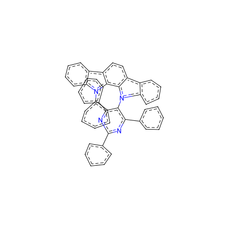 c1ccc(-c2nc(-c3ccccc3)c(-n3c4ccccc4c4ccc5c6ccccc6n(-c6ccccc6)c5c43)c(-c3ccccc3)n2)cc1